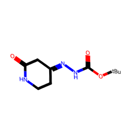 CC(C)(C)OC(=O)N/N=C1\CCNC(=O)C1